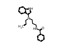 C=CCN(CCCNC(=O)c1ccccc1)c1c[nH]c2ccccc12